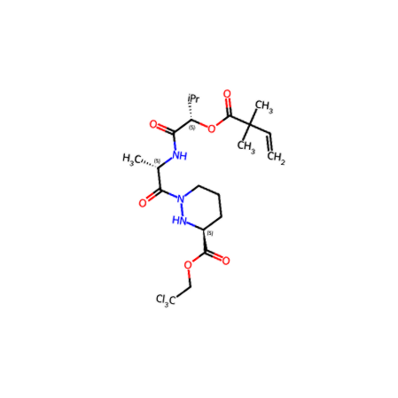 C=CC(C)(C)C(=O)O[C@H](C(=O)N[C@@H](C)C(=O)N1CCC[C@@H](C(=O)OCC(Cl)(Cl)Cl)N1)C(C)C